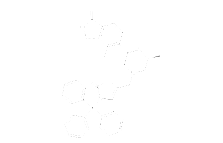 Cc1c(C2CN(Cc3cn(C(c4ccccc4)(c4ccccc4)c4ccccc4)c(=O)o3)C[C@H](C)N2)ccc2c1COC2=O